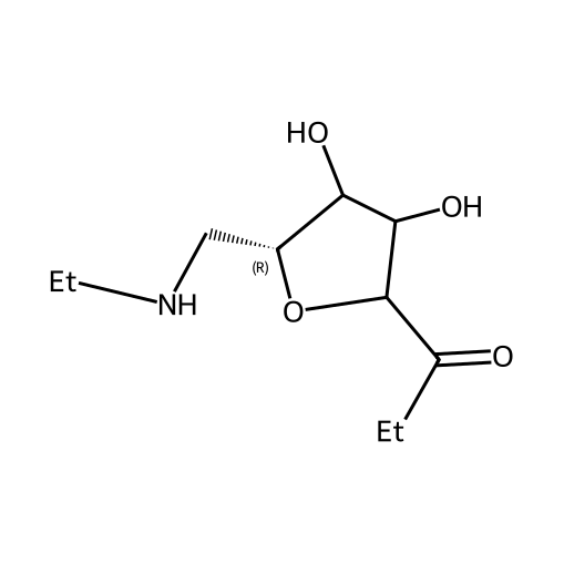 CCNC[C@H]1OC(C(=O)CC)C(O)C1O